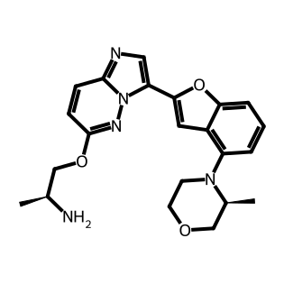 C[C@H](N)COc1ccc2ncc(-c3cc4c(N5CCOC[C@@H]5C)cccc4o3)n2n1